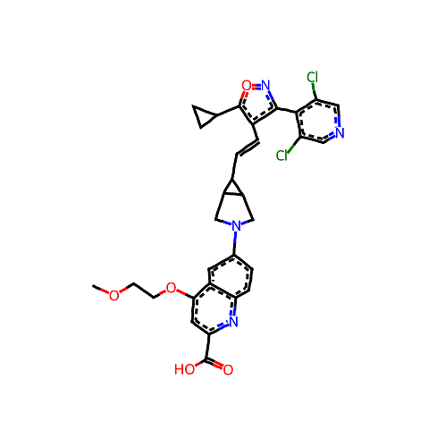 COCCOc1cc(C(=O)O)nc2ccc(N3CC4C(C=Cc5c(-c6c(Cl)cncc6Cl)noc5C5CC5)C4C3)cc12